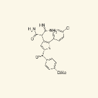 COc1ccc(C(=O)c2cc(C(C(=N)N)C(N)=O)c(-c3ccc(Cl)cc3)s2)cc1